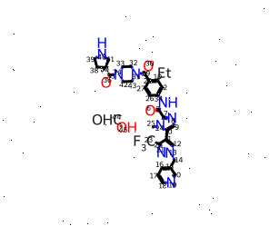 CCc1cc(NC(=O)c2ncc(-c3cn(Cc4cccnc4)nc3C(F)(F)F)n2C)ccc1C(=O)N1CCN(C(=O)[C@@H]2CCNC2)CC1.O=CO